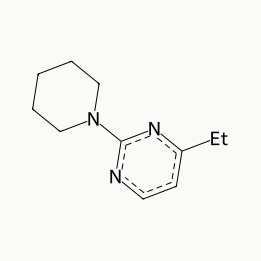 CCc1ccnc(N2CCCCC2)n1